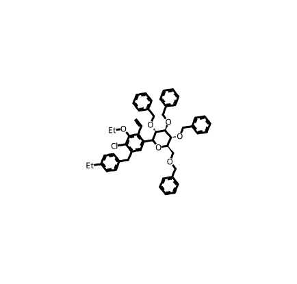 C=Cc1c(C2O[C@H](COCc3ccccc3)[C@@H](OCc3ccccc3)[C@H](OCc3ccccc3)[C@H]2OCc2ccccc2)cc(Cc2ccc(CC)cc2)c(Cl)c1OCC